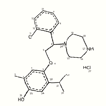 Cc1cc(OCC(c2ccccc2Cl)N2CCNCC2)c(C(C)C)cc1O.Cl